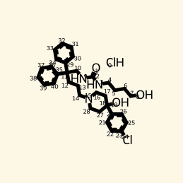 Cl.O=C(NCCCCO)NCC(CCCN1CCC(O)(c2ccc(Cl)cc2)CC1)(c1ccccc1)c1ccccc1